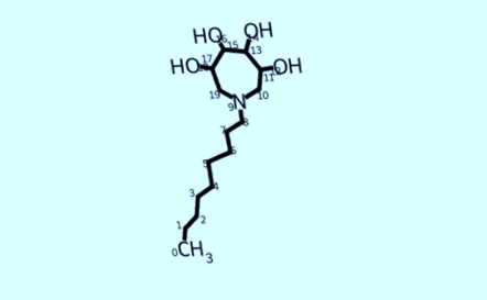 CCCCCCCCCN1CC(O)C(O)C(O)C(O)C1